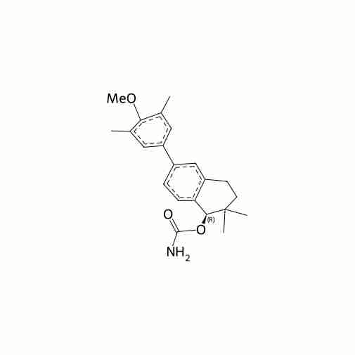 COc1c(C)cc(-c2ccc3c(c2)CCC(C)(C)[C@H]3OC(N)=O)cc1C